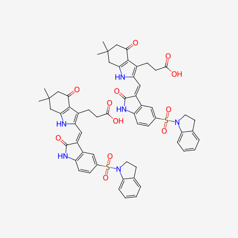 CC1(C)CC(=O)c2c([nH]c(C=C3C(=O)Nc4ccc(S(=O)(=O)N5CCc6ccccc65)cc43)c2CCC(=O)O)C1.CC1(C)CC(=O)c2c([nH]c(C=C3C(=O)Nc4ccc(S(=O)(=O)N5CCc6ccccc65)cc43)c2CCC(=O)O)C1